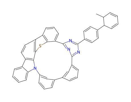 CC1C=CC=CC1c1ccc(-c2nc3nc(n2)c2cccc4c5ccc6c7ccccc7n(c7cccc(c7)c7cccc3c7)c6c5sc24)cc1